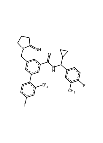 Cc1cc(C(NC(=O)c2cc(CN3CCCC3=N)cc(-c3ccc(F)cc3C(F)(F)F)c2)C2CC2)ccc1F